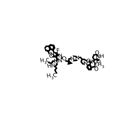 C#CC1=CCCc2cccc(-c3ncc4c(N5CC(CC)NC(CCCC)C5)nc(OCC5(CN6CCN(CC7CCN(c8cccc(C=O)c8C(=O)N(C)C8CCC(=O)NC8=O)CC7)CC6)CC5)nc4c3F)c21